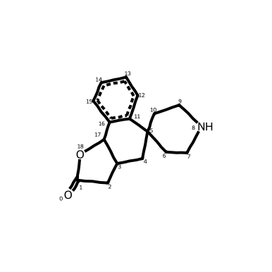 O=C1CC2CC3(CCNCC3)c3ccccc3C2O1